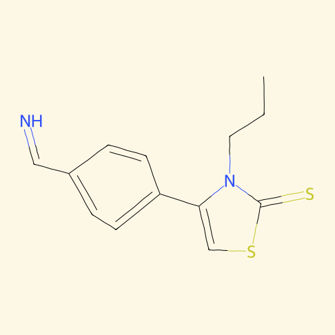 CCCn1c(-c2ccc(C=N)cc2)csc1=S